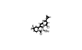 CC(C)(C)OC(=O)N1CCC(F)(F)CC1c1cc2nc(C3CC3)cc(Cl)n2n1